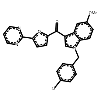 COc1ccc2c(c1)c(C(=O)c1ccc(-c3ncccn3)o1)cn2Cc1ccc(Cl)cc1